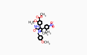 COC(=O)c1ccc(-c2c(-c3ccc([N+](=O)[O-])cc3C)c(C)n(Cc3ccc(OC)cc3)c2C(N)=O)cc1OC